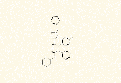 CC(C)(C)c1ccc(N(C(=O)C2CC(Oc3ccccc3)CN2)C(C(=O)NC2CCCCC2)c2cccnc2)cc1